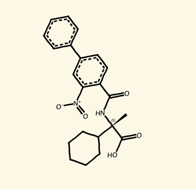 C[C@@](NC(=O)c1ccc(-c2ccccc2)cc1[N+](=O)[O-])(C(=O)O)C1CCCCC1